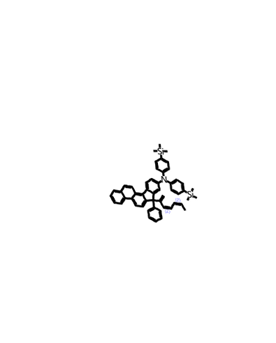 C=C(/C=C\C=C/C)C1(c2ccccc2)c2cc(N(c3ccc([Si](C)(C)C)cc3)c3ccc([Si](C)(C)C)cc3)ccc2-c2c1ccc1c2ccc2ccccc21